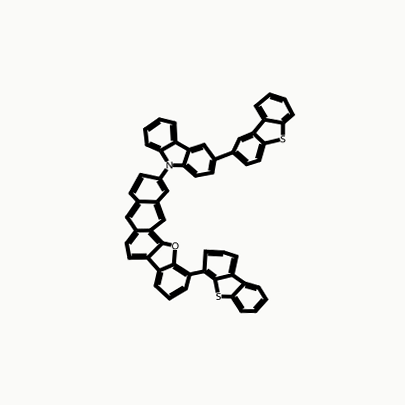 c1ccc2c(c1)sc1ccc(-c3ccc4c(c3)c3ccccc3n4-c3ccc4cc5ccc6c7cccc(-c8cccc9c8sc8ccccc89)c7oc6c5cc4c3)cc12